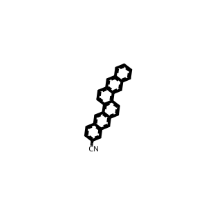 N#Cc1ccc2cc3c(ccc4c5cc6ccccc6cc5ccc34)cc2c1